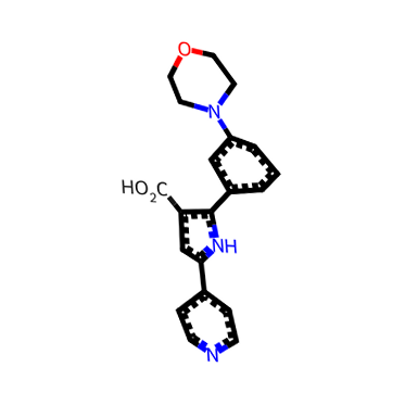 O=C(O)c1cc(-c2ccncc2)[nH]c1-c1cccc(N2CCOCC2)c1